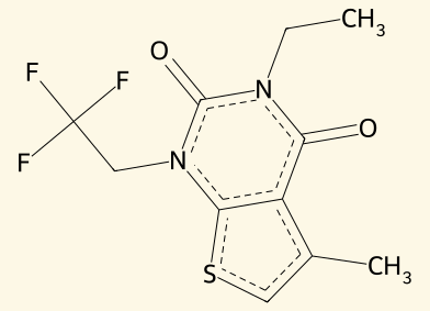 CCn1c(=O)c2c(C)csc2n(CC(F)(F)F)c1=O